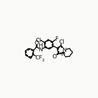 O=C(Nc1cc(-c2c(Cl)n3n(c2=O)CCCC3)c(F)cc1Cl)c1ccccc1C(F)(F)F